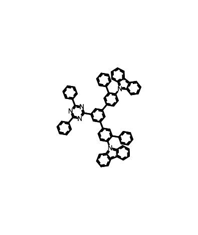 c1ccc(-c2nc(-c3ccccc3)nc(-c3cc(-c4ccc(-n5c6ccccc6c6ccccc65)c(-c5ccccc5)c4)cc(-c4ccc(-n5c6ccccc6c6ccccc65)c(-c5ccccc5)c4)c3)n2)cc1